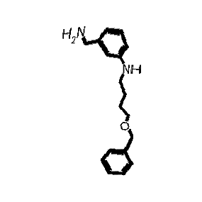 NCc1cccc(NCCCCOCc2ccccc2)c1